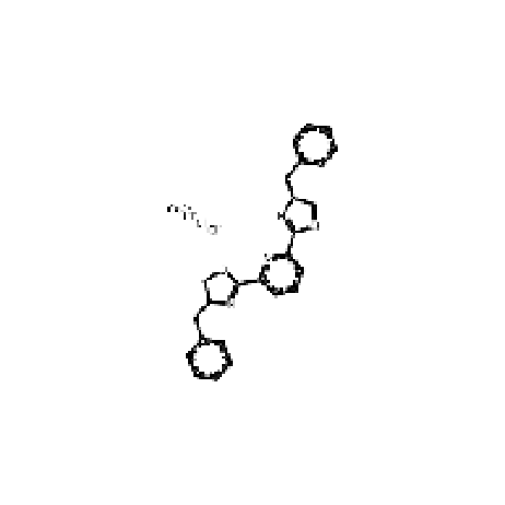 [Cl-].[Cl-].[Cl-].[Co+3].c1ccc(CC2COC(c3cccc(C4=NC(Cc5ccccc5)CO4)n3)=N2)cc1